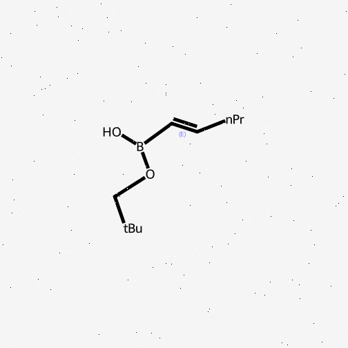 CCC/C=C/B(O)OCC(C)(C)C